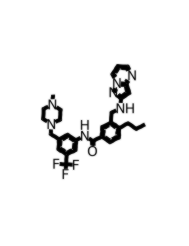 CCCc1ccc(C(=O)Nc2cc(CN3CCN(C)CC3)cc(C(F)(F)F)c2)cc1CNc1cc2ncccn2n1